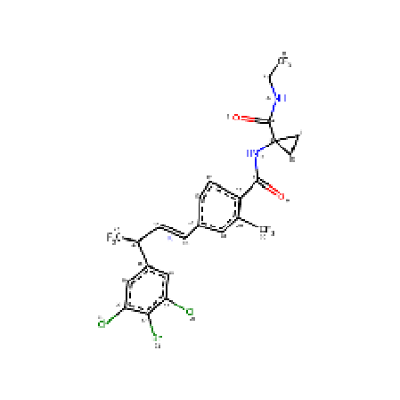 O=C(NC1(C(=O)NCC(F)(F)F)CC1)c1ccc(/C=C/C(c2cc(Cl)c(Br)c(Cl)c2)C(F)(F)F)cc1C(F)(F)F